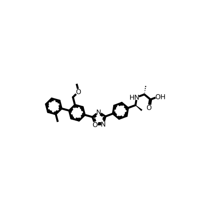 COCc1cc(-c2nc(-c3ccc([C@H](C)N[C@H](C)C(=O)O)cc3)no2)ccc1-c1ccccc1C